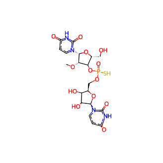 CO[C@H]1C(O[P@@](=O)(S)OC[C@H]2O[C@@H](n3ccc(=O)[nH]c3=O)[C@@H](O)C2O)[C@@H](CO)O[C@H]1n1ccc(=O)[nH]c1=O